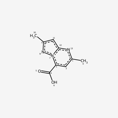 Cc1cc(C(=O)O)n2nc(C)cc2n1